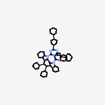 c1ccc(-c2ccc(-c3nc(-c4ccccc4)nc(-n4c5ccccc5c5c(-c6ccccc6)c(-c6ccccc6)c6c7ccccc7n(-c7cccc(-c8ccccc8)n7)c6c54)n3)cc2)cc1